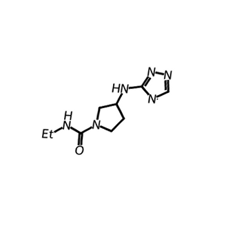 CCNC(=O)N1CCC(NC2=NN=C[N]2)C1